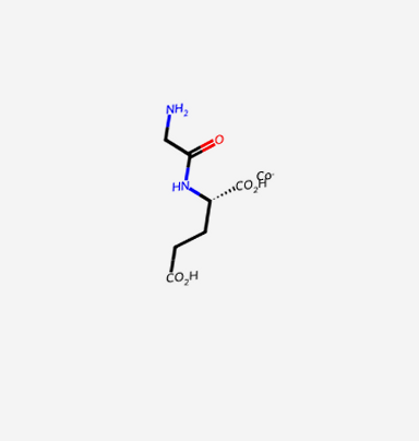 NCC(=O)N[C@@H](CCC(=O)O)C(=O)O.[Co]